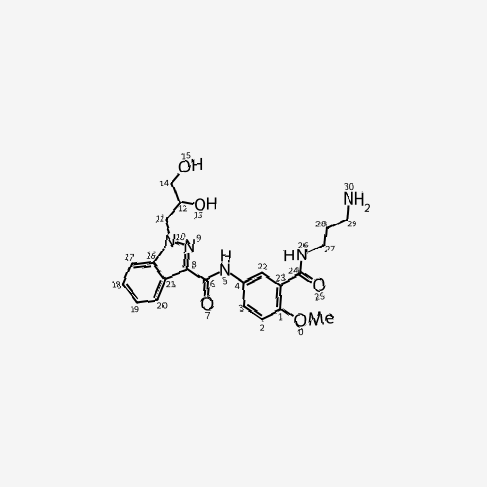 COc1ccc(NC(=O)c2nn(CC(O)CO)c3ccccc23)cc1C(=O)NCCCN